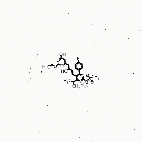 CCOCOC(CC(=O)O)CC(O)/C=C/c1c(-c2ccc(F)cc2)nc(N(C)S(C)(=O)=O)nc1C(C)C